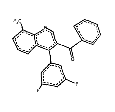 O=C(c1ccccc1)c1cnc2c(C(F)(F)F)cccc2c1-c1cc(F)cc(F)c1